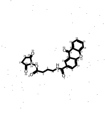 O=C(CCCNC(=O)c1ccc2oc3ccccc3c(=O)c2c1)ON1C(=O)CCC1=O